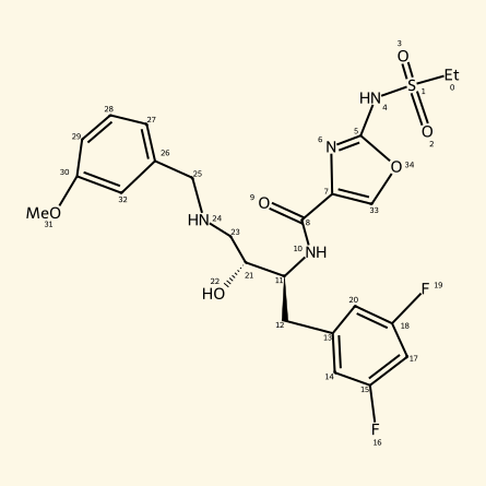 CCS(=O)(=O)Nc1nc(C(=O)N[C@@H](Cc2cc(F)cc(F)c2)[C@H](O)CNCc2cccc(OC)c2)co1